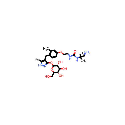 Cc1cc(OCCNC(=O)NC(C)(C)CN)ccc1Cc1c(OC2OC(CO)[C@@H](O)C(O)[C@H]2O)n[nH]c1C(C)C